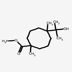 CC1(C(=O)OP)CCCC(C)(C(C)(C)O)CCC1